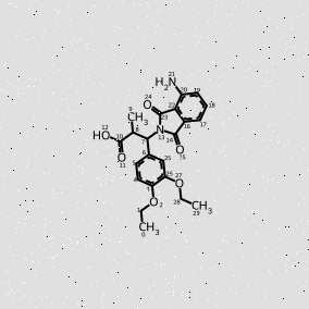 CCOc1ccc(C(C(C)C(=O)O)N2C(=O)c3cccc(N)c3C2=O)cc1OCC